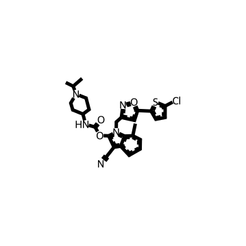 Cc1cccc2c(C#N)c(OC(=O)NC3CCN(C(C)C)CC3)n(Cc3cc(-c4ccc(Cl)s4)on3)c12